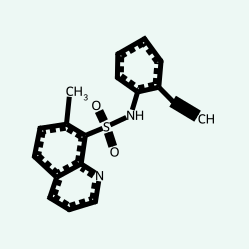 C#Cc1ccccc1NS(=O)(=O)c1c(C)ccc2cccnc12